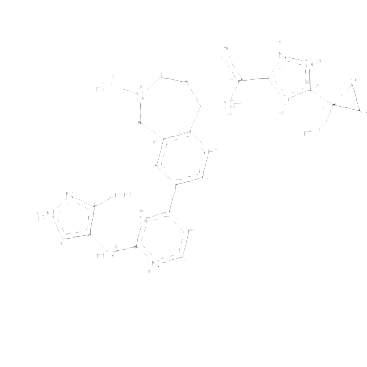 Cc1n[nH]cc1Nc1nccc(-c2ccc3c(c2)CN(C)CC[C@@H]3NC(=O)c2nnc(C3(C)CC3)o2)n1